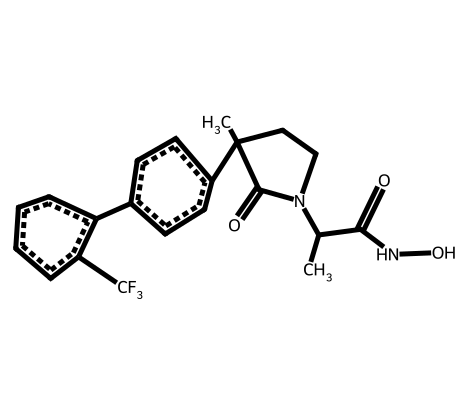 CC(C(=O)NO)N1CCC(C)(c2ccc(-c3ccccc3C(F)(F)F)cc2)C1=O